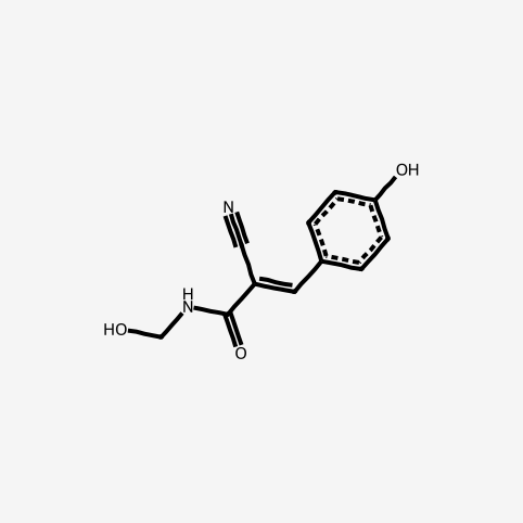 N#C/C(=C\c1ccc(O)cc1)C(=O)NCO